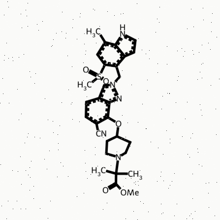 COC(=O)C(C)(C)N1CCC(Oc2c(C#N)ccc3cn(Cc4c(S(C)(=O)=O)cc(C)c5[nH]ccc45)nc23)CC1